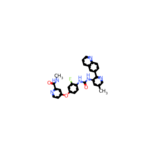 CNC(=O)c1cc(Oc2ccc(NC(=O)Nc3cc(C)cnc3-c3ccc4ncccc4c3)c(F)c2)ccn1